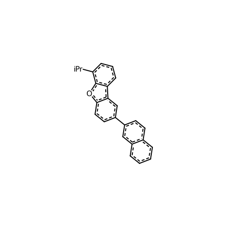 CC(C)c1cccc2c1oc1ccc(-c3ccc4ccccc4c3)cc12